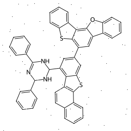 c1ccc(C2=NC(c3ccccc3)NC(c3cc(-c4cc5c6ccccc6oc5c5c4sc4ccccc45)cc4sc5c6ccccc6ccc5c34)N2)cc1